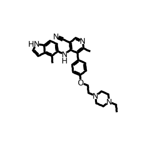 CCN1CCN(CCOc2ccc(-c3c(C)ncc(C#N)c3Nc3ccc4[nH]ccc4c3C)cc2)CC1